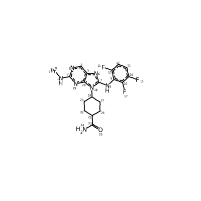 CC(C)Nc1ncc2nc(Nc3c(F)ccc(F)c3F)n(C3CCC(C(N)=O)CC3)c2n1